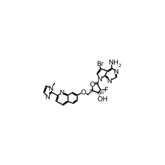 Cn1ccnc1-c1ccc2ccc(OC[C@H]3O[C@@H](n4cc(Br)c5c(N)ncnc54)[C@@H](F)[C@@H]3O)cc2n1